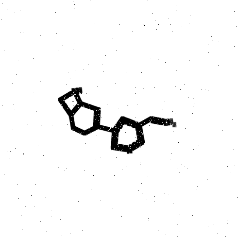 C=Cc1cncc(C2=CC3NCC3CC2)c1